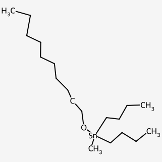 CCCCCCCCCC[O][Sn]([CH3])([CH2]CCC)[CH2]CCC